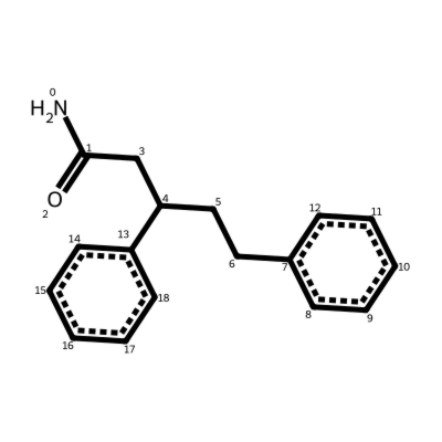 NC(=O)CC(CCc1ccccc1)c1ccccc1